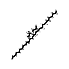 CCCCCCCCCCCCCCCCCCCCCCCCCCCC.CCCOC(=O)CC